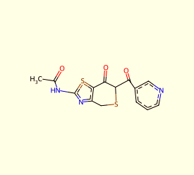 CC(=O)Nc1nc2c(s1)C(=O)C(C(=O)c1cccnc1)SC2